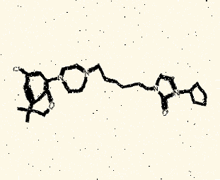 CC1(C)COc2c(N3CCN(CCCCCCN4CCN(C5CCCC5)C4=O)CC3)cc(Cl)cc21